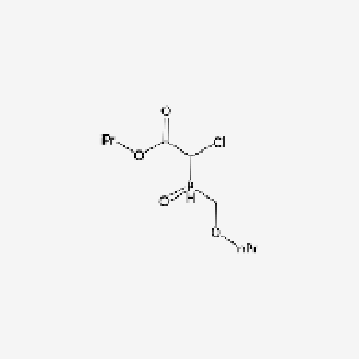 CCCOC[PH](=O)C(Cl)C(=O)OC(C)C